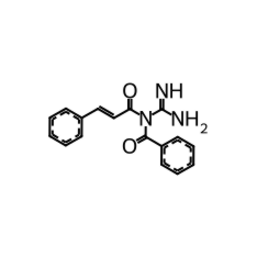 N=C(N)N(C(=O)C=Cc1ccccc1)C(=O)c1ccccc1